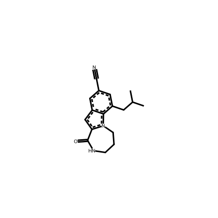 CC(C)Cc1cc(C#N)cc2cc3n(c12)CCCNC3=O